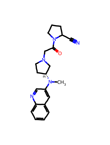 CN(c1cnc2ccccc2c1)[C@@H]1CCN(CC(=O)N2CCCC2C#N)C1